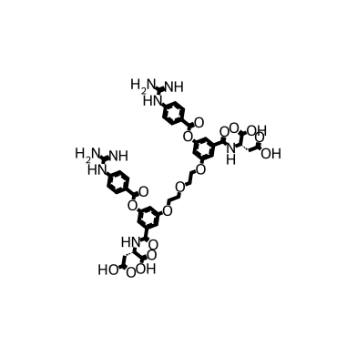 N=C(N)Nc1ccc(C(=O)Oc2cc(OCCOCCOc3cc(OC(=O)c4ccc(NC(=N)N)cc4)cc(C(=O)N[C@@H](CC(=O)O)C(=O)O)c3)cc(C(=O)N[C@@H](CC(=O)O)C(=O)O)c2)cc1